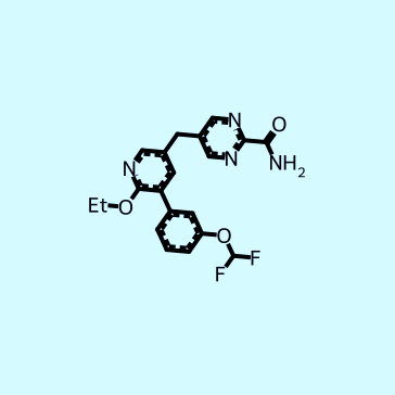 CCOc1ncc(Cc2cnc(C(N)=O)nc2)cc1-c1cccc(OC(F)F)c1